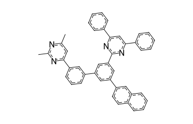 Cc1cc(-c2cccc(-c3cc(-c4ccc5ccccc5c4)cc(-c4nc(-c5ccccc5)cc(-c5ccccc5)n4)c3)c2)nc(C)n1